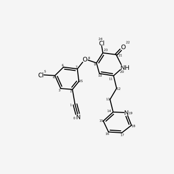 N#Cc1cc(Cl)cc(Oc2cc(CCc3ccccn3)[nH]c(=O)c2Cl)c1